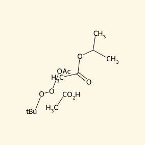 CC(=O)O.CC(=O)OC(C)C.CC(=O)OOOC(C)(C)C